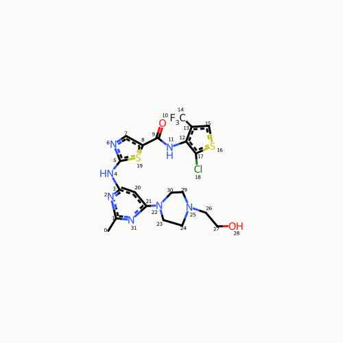 Cc1nc(Nc2ncc(C(=O)Nc3c(C(F)(F)F)csc3Cl)s2)cc(N2CCN(CCO)CC2)n1